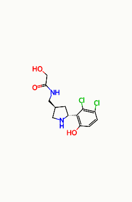 O=C(CO)NC[C@@H]1CN[C@@H](c2c(O)ccc(Cl)c2Cl)C1